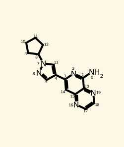 Nc1nc(-c2cnn(C3CCCC3)c2)cc2nccnc12